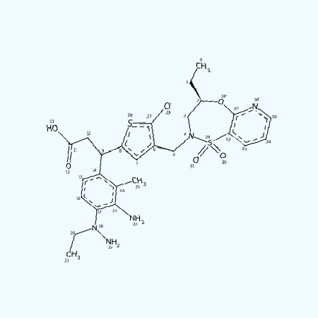 CC[C@@H]1CN(Cc2cc(C(CC(=O)O)c3ccc(N(N)CC)c(N)c3C)sc2Cl)S(=O)(=O)c2cccnc2O1